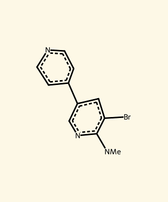 CNc1ncc(-c2ccncc2)cc1Br